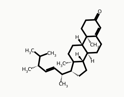 CC(C)[C@@H](C)C=C[C@@H](C)[C@H]1CC[C@H]2[C@@H]3CCC4=CC(=O)CC[C@]4(C)[C@H]3CC[C@]12C